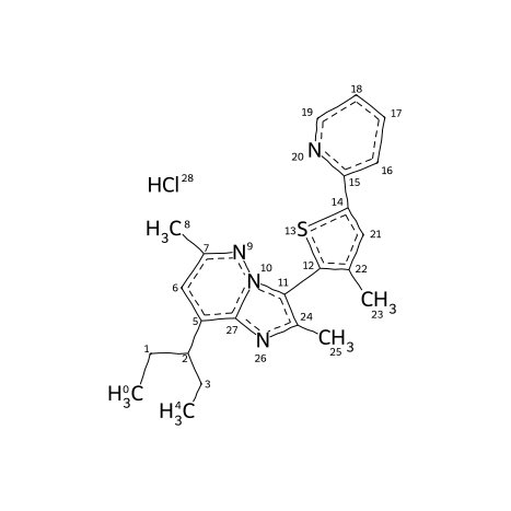 CCC(CC)c1cc(C)nn2c(-c3sc(-c4ccccn4)cc3C)c(C)nc12.Cl